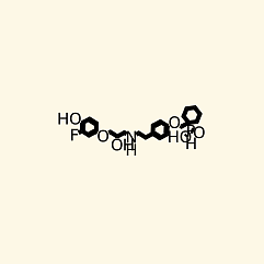 O=[PH](O)C1(COc2ccc(CCNCC(O)COc3ccc(O)c(F)c3)cc2)CCCCC1